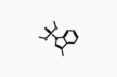 COP(=O)(OC)n1cc(C)c2ccccc21